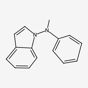 CN(c1ccccc1)n1ccc2ccccc21